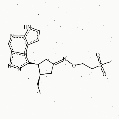 CC[C@@H]1CC(=NOCCS(C)(=O)=O)C[C@@H]1c1nnc2cnc3[nH]ccc3n12